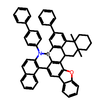 CC12CCCCC1(C)c1cc(-c3ccccc3)cc3c1C(C2)c1c2c(cc4c1oc1ccccc14)-c1c(ccc4ccccc14)N(c1ccc(-c4ccccc4)cc1)B32